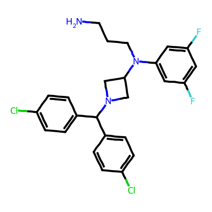 NCCCN(c1cc(F)cc(F)c1)C1CN(C(c2ccc(Cl)cc2)c2ccc(Cl)cc2)C1